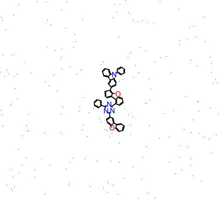 c1ccc(-c2nc(-c3ccc4oc5ccccc5c4c3)nc(-c3cccc4oc5c(-c6ccc7c(c6)c6ccccc6n7-c6ccccc6)cccc5c34)n2)cc1